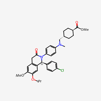 COc1cc2c(cc1OC(C)C)[C@H](c1ccc(Cl)cc1)N(c1ccc(N(C)C[C@H]3CC[C@H](C(=O)OC)CC3)cc1)C(=O)C2